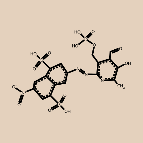 Cc1nc(N=Nc2cc(S(=O)(=O)O)c3cc([N+](=O)[O-])cc(S(=O)(=O)O)c3c2)c(COP(=O)(O)O)c(C=O)c1O